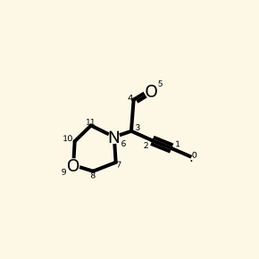 [CH2]C#CC(C=O)N1CCOCC1